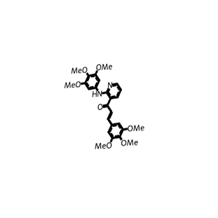 COc1cc(/C=C/C(=O)c2cccnc2Nc2cc(OC)c(OC)c(OC)c2)cc(OC)c1OC